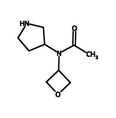 CC(=O)N(C1CCNC1)C1COC1